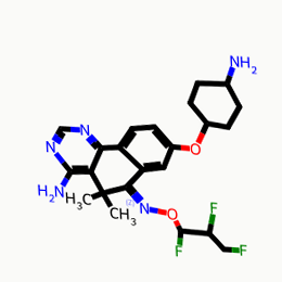 CC1(C)/C(=N/OC(F)C(F)CF)c2cc(OC3CCC(N)CC3)ccc2-c2ncnc(N)c21